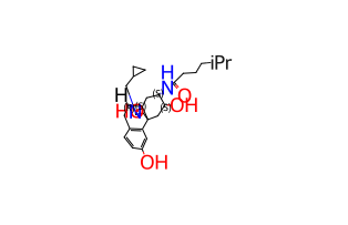 CC(C)CCCC(=O)N[C@H]1C[C@@]2(O)[C@H]3Cc4ccc(O)cc4C2(CCN3CC2CC2)C[C@@H]1O